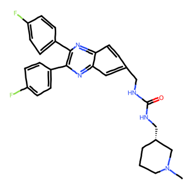 CN1CCC[C@H](CNC(=O)NCc2ccc3nc(-c4ccc(F)cc4)c(-c4ccc(F)cc4)nc3c2)C1